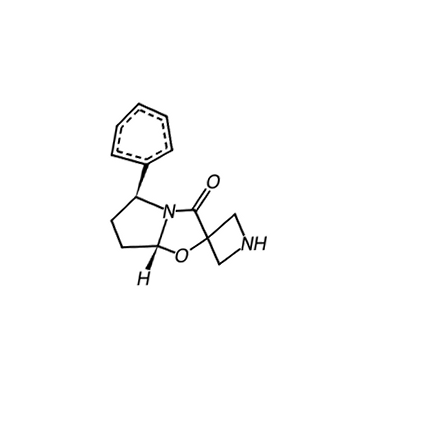 O=C1N2[C@@H](CC[C@H]2c2ccccc2)OC12CNC2